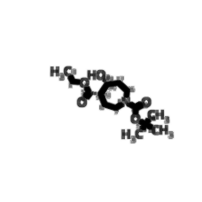 CCOC(=O)[C@H]1CCN(C(=O)OC(C)(C)C)CC[C@H]1O